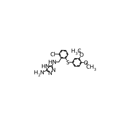 COc1ccc(Sc2cccc(Cl)c2CNc2nnc(N)[nH]2)cc1OC